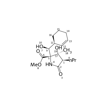 CCC[C@H]1C(=O)N[C@](C(=O)OC)([C@@H](O)[C@@H]2C=CCCC2)[C@@]1(C)O